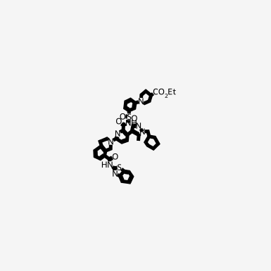 CCOC(=O)C1CCN(c2cccc(S(=O)(=O)NC(=O)c3nc(N4CCc5cccc(C(=O)Nc6nc7ccccc7s6)c5C4)ccc3-c3cnn(CC4CCCCC4)c3C)c2)CC1